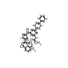 Cc1cccc(Cl)c1NC(=O)c1cnc(Nc2nc(CC(C)C)nc(N3CCN(c4ccccc4)CC3)n2)s1